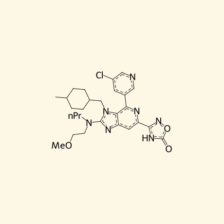 CCCN(CCOC)c1nc2cc(-c3noc(=O)[nH]3)nc(-c3cncc(Cl)c3)c2n1CC1CCC(C)CC1